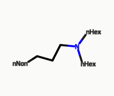 [CH2]CCCCCCCCCCCN(CCCCCC)CCCCCC